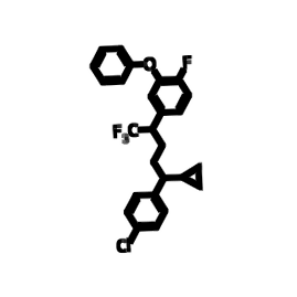 Fc1ccc(C(CCC(c2ccc(Cl)cc2)C2CC2)C(F)(F)F)cc1Oc1ccccc1